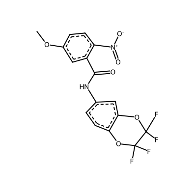 COc1ccc([N+](=O)[O-])c(C(=O)Nc2ccc3c(c2)OC(F)(F)C(F)(F)O3)c1